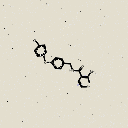 CC/C=C\C(C(=O)NCc1ccc(Oc2ccc(Cl)cc2)cc1)=C(/C)N